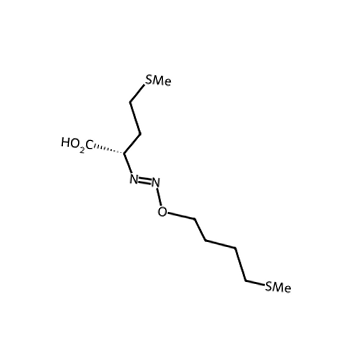 CSCCCCON=N[C@@H](CCSC)C(=O)O